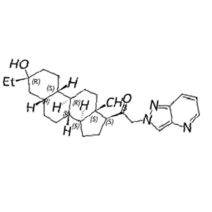 CC[C@@]1(O)CC[C@H]2[C@H](CC[C@@H]3[C@@H]2CC[C@]2(C)[C@@H](C(=O)Cn4cc5ncccc5n4)CC[C@@H]32)C1